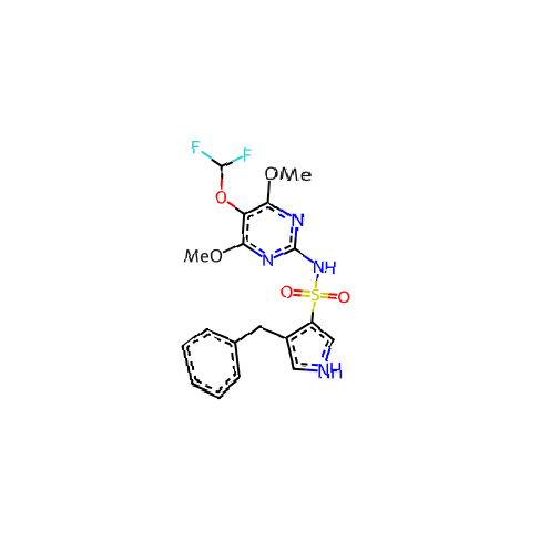 COc1nc(NS(=O)(=O)c2c[nH]cc2Cc2ccccc2)nc(OC)c1OC(F)F